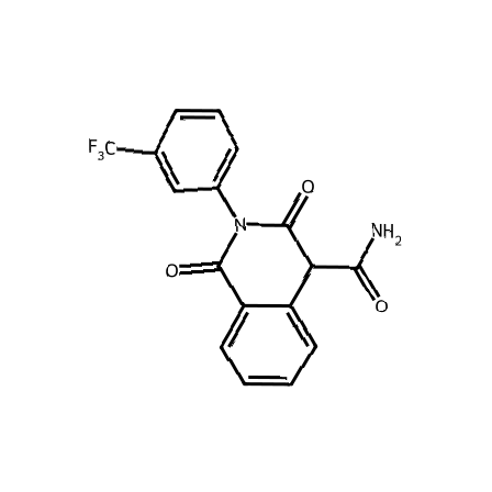 NC(=O)C1C(=O)N(c2cccc(C(F)(F)F)c2)C(=O)c2ccccc21